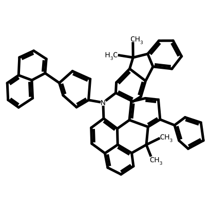 CC1(C)c2ccccc2-c2ccc(N(c3ccc(-c4cccc5ccccc45)cc3)c3ccc4cccc5c4c3-c3cccc(-c4ccccc4)c3C5(C)C)cc21